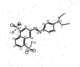 CCN(CC)c1ccc(N=Nc2cc(S(=O)(=O)F)c3cccc(S(=O)(=O)F)c3c2)cc1